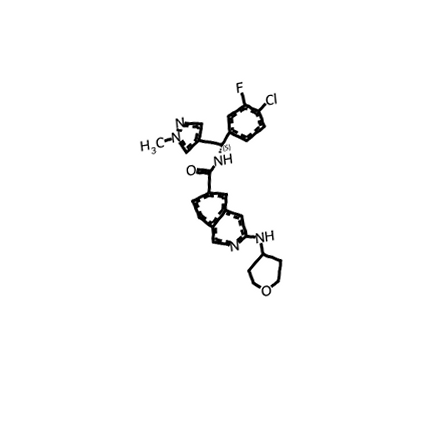 Cn1cc([C@@H](NC(=O)c2ccc3cnc(NC4CCOCC4)cc3c2)c2ccc(Cl)c(F)c2)cn1